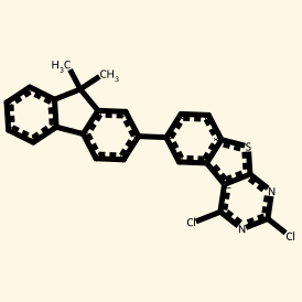 CC1(C)c2ccccc2-c2ccc(-c3ccc4sc5nc(Cl)nc(Cl)c5c4c3)cc21